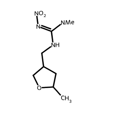 CNC(=N[N+](=O)[O-])NCC1COC(C)C1